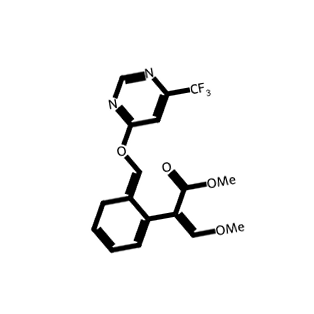 COC=C(C(=O)OC)C1=CC=CCC1=COc1cc(C(F)(F)F)ncn1